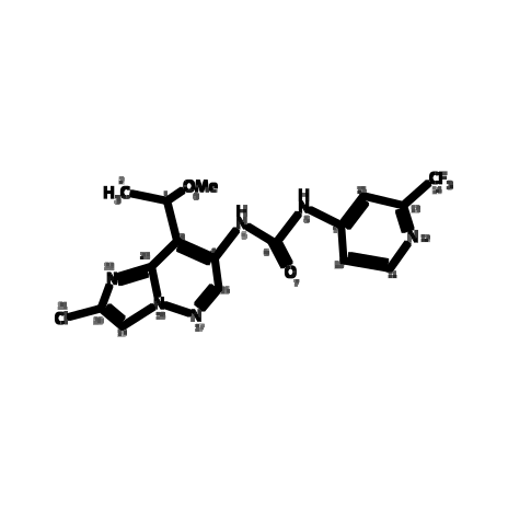 COC(C)c1c(NC(=O)Nc2ccnc(C(F)(F)F)c2)cnn2cc(Cl)nc12